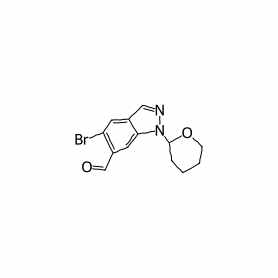 O=Cc1cc2c(cnn2C2CCCCO2)cc1Br